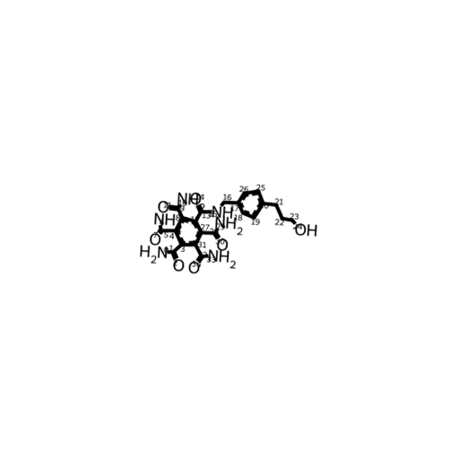 NC(=O)c1c(C(N)=O)c(C(N)=O)c(C(=O)NCc2ccc(CCCO)cc2)c(C(N)=O)c1C(N)=O